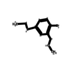 CCSc1ccc(Br)c(COC)c1